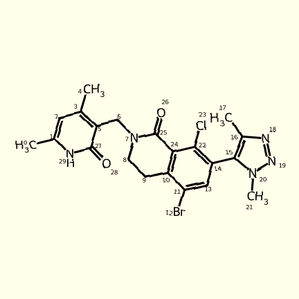 Cc1cc(C)c(CN2CCc3c(Br)cc(-c4c(C)nnn4C)c(Cl)c3C2=O)c(=O)[nH]1